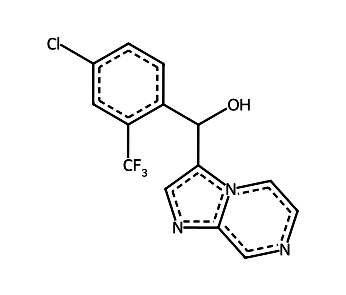 OC(c1ccc(Cl)cc1C(F)(F)F)c1cnc2cnccn12